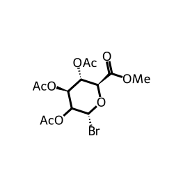 COC(=O)[C@H]1O[C@H](Br)C(OC(C)=O)[C@@H](OC(C)=O)[C@@H]1OC(C)=O